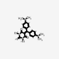 CCN1C(=O)C(=C(c2ccc(N(C)C)cc2)c2ccc(N(C)C)cc2)C(=O)N(CC)C1=S